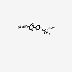 CCCCCCCCCc1cnc(-c2ccc(OCC(C)CCCC(C)C)cc2)nc1